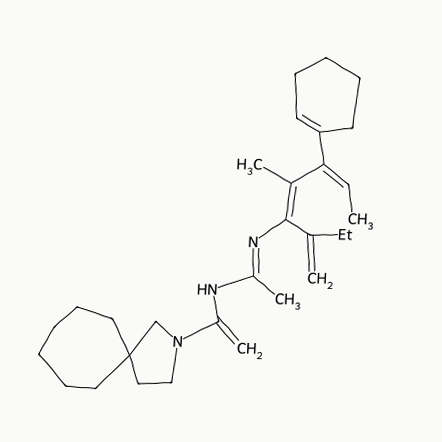 C=C(CC)C(/N=C(\C)NC(=C)N1CCC2(CCCCCC2)C1)=C(C)\C(=C/C)C1=CCCCC1